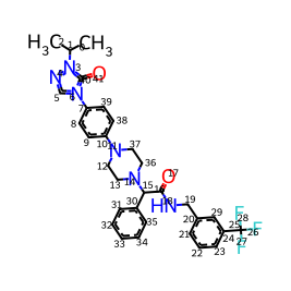 CC(C)n1ncn(-c2ccc(N3CCN(C(C(=O)NCc4cccc(C(F)(F)F)c4)c4ccccc4)CC3)cc2)c1=O